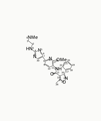 CNCCNc1ncc(-c2ccc(NC(=O)c3c(-c4ccccc4)noc3C)c(OC)n2)cn1